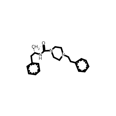 [CH2][C@@H](Cc1ccccc1)NC(=O)N1CCN(CCc2ccccc2)CC1